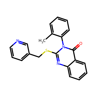 Cc1ccccc1-n1c(SCc2cccnc2)nc2ccccc2c1=O